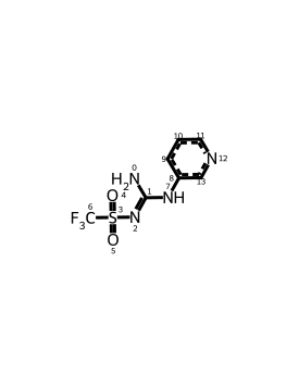 N/C(=N\S(=O)(=O)C(F)(F)F)Nc1cccnc1